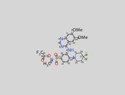 COc1cc2ncnc(Nc3cc(S(=O)(=O)N(C)OC(=O)C(F)(F)F)ccc3N3CCC(F)(F)CC3)c2cc1OC